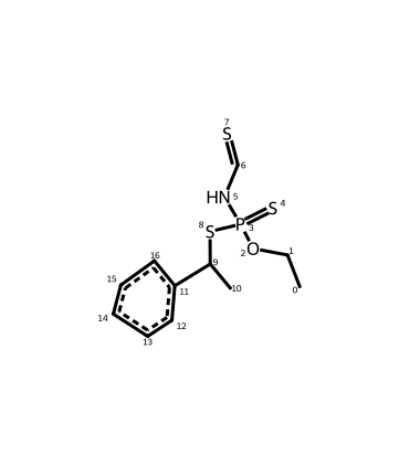 CCOP(=S)(NC=S)SC(C)c1ccccc1